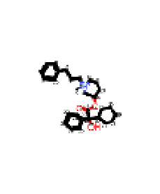 C[N@@+]1(CCCc2ccccc2)CCCC(OC(=O)C(O)(c2ccccc2)C2CCCCC2)C1